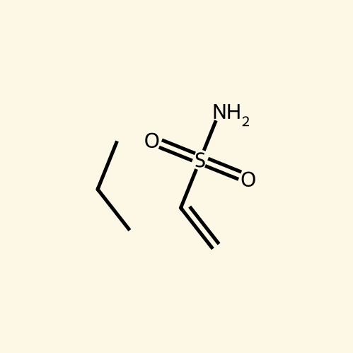 C=CS(N)(=O)=O.CCC